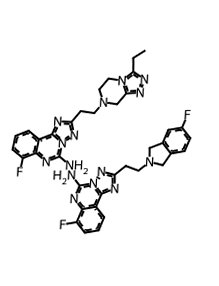 CCc1nnc2n1CCN(CCc1nc3c4cccc(F)c4nc(N)n3n1)C2.Nc1nc2c(F)cccc2c2nc(CCN3Cc4ccc(F)cc4C3)nn12